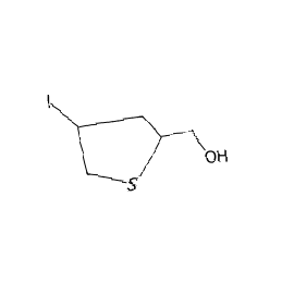 OCC1CC(I)CS1